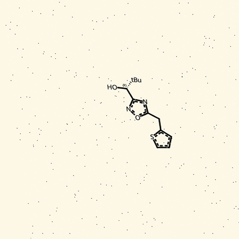 [CH2]C(C)(C)[C@@H](O)c1noc(Cc2cccs2)n1